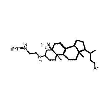 CC(=O)CCC(C)C1CCC2C3CCC4(N)CC(NCCNC(C)C)CCC4(C)C3CCC12C